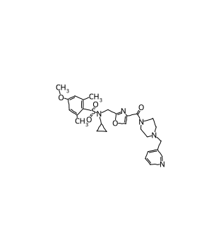 COc1cc(C)c(S(=O)(=O)N(Cc2nc(C(=O)N3CCN(Cc4cccnc4)CC3)co2)C2CC2)c(C)c1